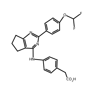 O=C(O)Cc1ccc(Nc2nc(-c3ccc(OC(F)F)cc3)nc3c2CCC3)cc1